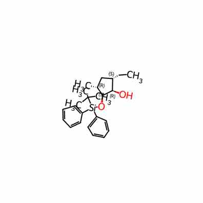 CC[C@H]1C[C@@H](C)[C@H](O[Si](c2ccccc2)(c2ccccc2)C(C)(C)C)[C@@H]1O